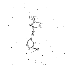 Cc1nc(C#Cc2cccc(O)c2)cs1